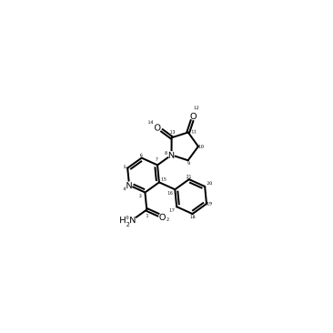 NC(=O)c1nccc(N2CCC(=O)C2=O)c1-c1ccccc1